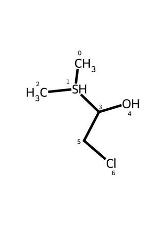 C[SH](C)C(O)CCl